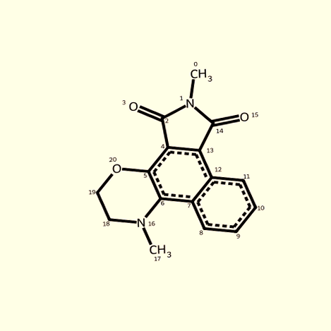 CN1C(=O)c2c3c(c4ccccc4c2C1=O)N(C)CCO3